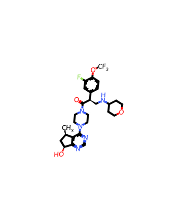 C[C@@H]1C[C@H](O)c2ncnc(N3CCN(C(=O)[C@H](CNC4CCOCC4)c4ccc(OC(F)(F)F)c(F)c4)CC3)c21